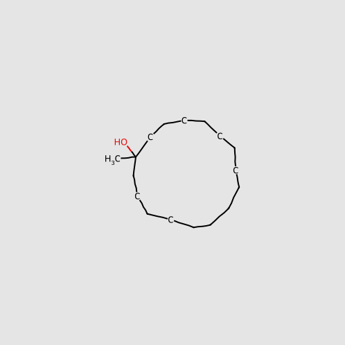 CC1(O)CCCCCCCCCCCCCCC1